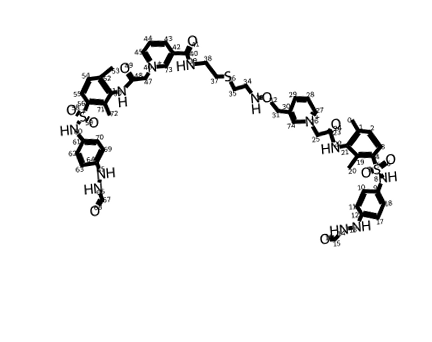 Cc1ccc(S(=O)(=O)Nc2ccc(NNC=O)cc2)c(C)c1NC(=O)C[n+]1cccc(CONCCSCCNC(=O)c2ccc[n+](CC(=O)Nc3c(C)ccc(S(=O)(=O)Nc4ccc(NNC=O)cc4)c3C)c2)c1